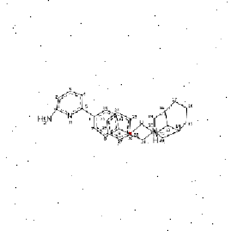 Nc1cccc(-c2ccc(CCNC3C4CCCC3CN(Cc3ccccc3)C4)cc2)n1